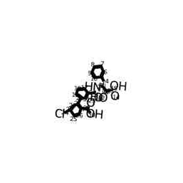 O=C(N[C@H](Cc1ccccc1)[C@@H](O)C(=O)O)c1cccc(-c2cc(Cl)ccc2C(=O)O)c1